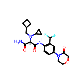 NC(=O)[C@H](C(=O)Nc1ccc(N2CCOCC2=O)cc1C(F)F)N(CC1CCC1)C1CC1